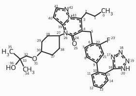 CCCc1c(Cc2ccc(-c3ccccc3-c3nnn[nH]3)cc2F)c(=O)n(C2CCC(OCC(C)(C)O)CC2)c2ccnn12